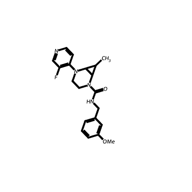 COc1cccc(CNC(=O)N2CCN(c3ccncc3F)C3C(C)C32)c1